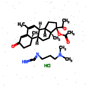 CC(=O)O[C@]1(C(C)=O)CC[C@H]2[C@@H]3C=C(C)C4=CC(=O)CC[C@]4(C)[C@H]3CC[C@@]21C.CN(C)CCCN=C=N.Cl